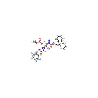 CC(C)(C)OC(=O)CC[C@H](NC(=O)OCC1c2ccccc2-c2ccccc21)C(=O)NCC(=O)Oc1c(F)c(F)c(F)c(F)c1F